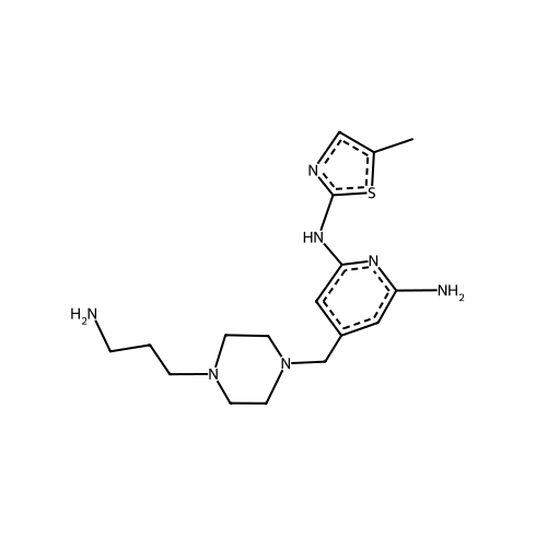 Cc1cnc(Nc2cc(CN3CCN(CCCN)CC3)cc(N)n2)s1